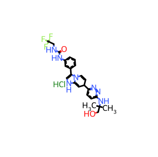 CC(C)(CO)Nc1ccc(C2C=CN3C(=C2)NC=C3c2cccc(NC(=O)NCC(F)(F)F)c2)nn1.Cl